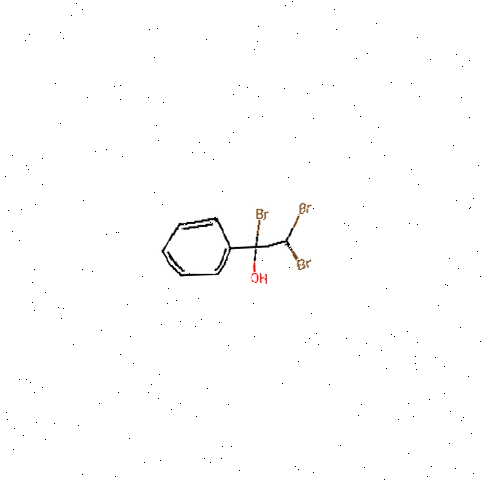 OC(Br)([C](Br)Br)c1ccccc1